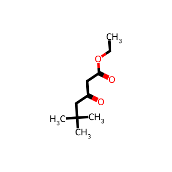 CCOC(=O)CC(=O)CC(C)(C)C